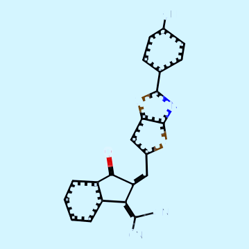 Cc1ccc(-c2nc3sc(/C=C4\C(=O)c5ccccc5C4=C(C#N)C#N)cc3s2)cc1